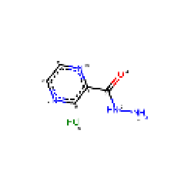 Cl.NNC(=O)c1cnccn1